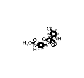 CC(=O)Nc1ccc(CN2C(=O)CC3(C(=O)Nc4ccc(Cl)cc43)C2=O)cc1